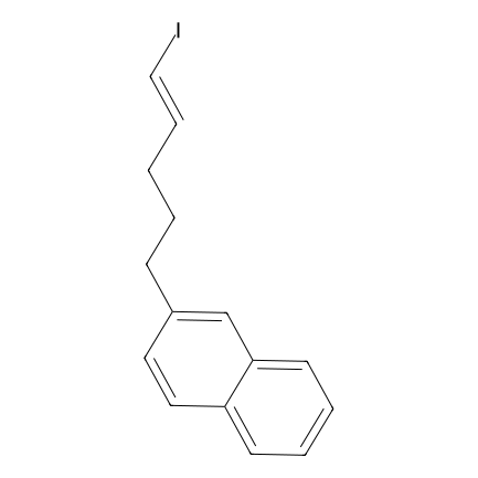 IC=CCCCc1ccc2ccccc2c1